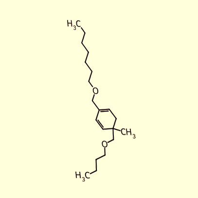 CCCCCCCOCC1=CCC(C)(COCCCC)C=C1